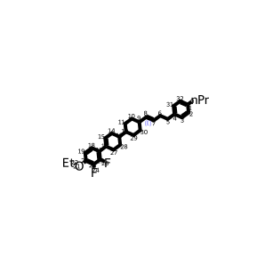 CCCc1ccc(CC/C=C/C2CCC(C3CC=C(c4ccc(OCC)c(F)c4F)CC3)CC2)cc1